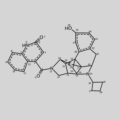 O=C(c1cc(=O)[nH]c2ccccc12)N1CC2CC34CCC1C2C31CCN(C2CCC2)C4Cc2ccc(O)cc21